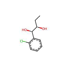 CC[C@@H](O)[C@H](O)c1ccccc1Cl